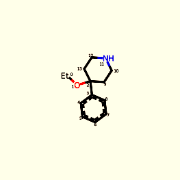 CCOC1(c2c[c]ccc2)CCNCC1